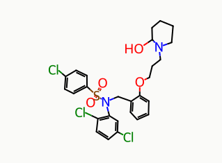 O=S(=O)(c1ccc(Cl)cc1)N(Cc1ccccc1OCCCN1CCCCC1O)c1cc(Cl)ccc1Cl